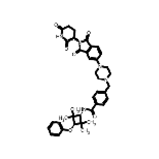 CC1(C)[C@H](NC(=O)c2ccc(CN3CCN(c4ccc5c(c4)C(=O)N(C4CCC(=O)NC4=O)C5=O)CC3)cc2)C(C)(C)[C@H]1Oc1ccccc1